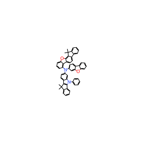 CC1(C)c2ccccc2-c2c1c1ccc(N(c3ccc4c(c3)oc3ccccc34)c3cccc4oc5c6c(ccc5c34)-c3ccccc3C6(C)C)cc1n2-c1ccccc1